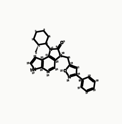 C[C@@H]1CCCCC1n1c(=O)n(Cc2cc(-c3ccccc3)no2)c2cnc3[nH]ccc3c21